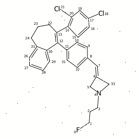 FCCCN1CC(=Cc2ccc(C3=C(c4ccc(Cl)cc4Cl)CCCc4ccccc43)cc2)C1